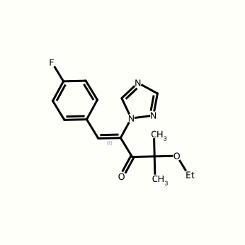 CCOC(C)(C)C(=O)/C(=C/c1ccc(F)cc1)n1cncn1